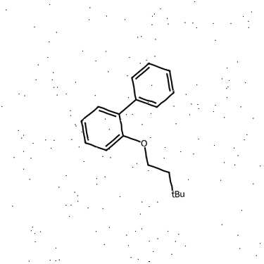 CC(C)(C)CCOc1ccccc1-c1ccccc1